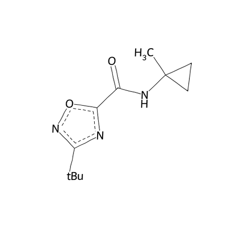 CC1(NC(=O)c2nc(C(C)(C)C)no2)CC1